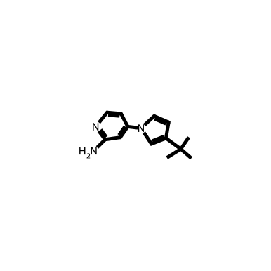 CC(C)(C)c1ccn(-c2ccnc(N)c2)c1